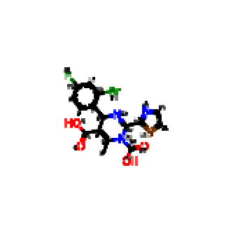 CC1=C(C(=O)O)C(c2ccc(F)cc2Br)N=C(c2nccs2)N1C(=O)O